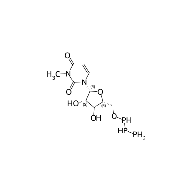 Cn1c(=O)ccn([C@@H]2O[C@H](COPPP)C(O)[C@@H]2O)c1=O